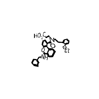 CCOc1ccccc1CCN(CCC(=O)O)C(=O)c1ccccc1-c1ccccc1C(=O)NCc1ccccc1